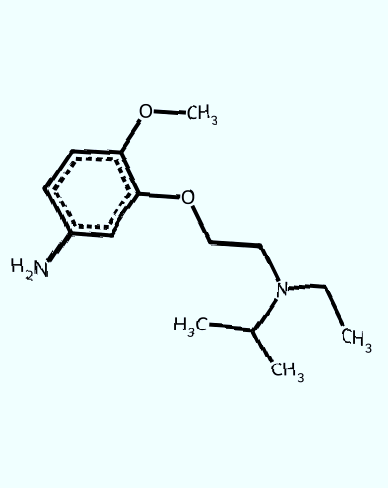 CCN(CCOc1cc(N)ccc1OC)C(C)C